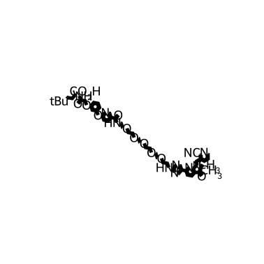 CC(C)(C)CC[C@H](NC(=O)COc1cccc(Oc2ccc(C(=O)NCCOCCOCCOCCOCCOCCNc3ncc(-c4ccc5c(n4)N(Cc4cccnc4C#N)C(C)(C)C5=O)cn3)cn2)c1)C(=O)O